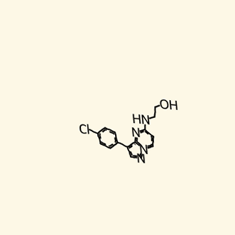 OCCNc1ccn2ncc(-c3ccc(Cl)cc3)c2n1